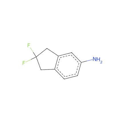 Nc1ccc2c(c1)CC(F)(F)C2